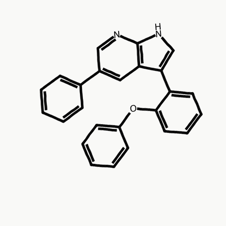 c1ccc(Oc2ccccc2-c2c[nH]c3ncc(-c4ccccc4)cc23)cc1